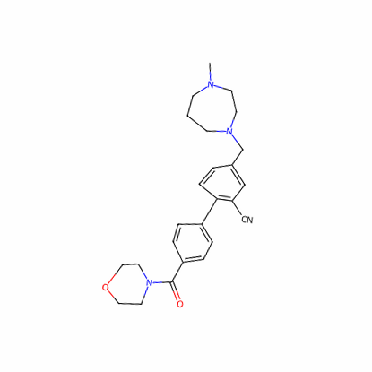 CN1CCCN(Cc2ccc(-c3ccc(C(=O)N4CCOCC4)cc3)c(C#N)c2)CC1